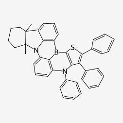 CC12CCCCC1(C)N1c3cccc4c3B(c3cccc2c31)c1sc(-c2ccccc2)c(-c2ccccc2)c1N4c1ccccc1